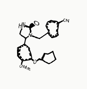 COc1ccc(C2CNC(=O)N2Cc2ccc(C#N)cc2)cc1OC1CCCC1